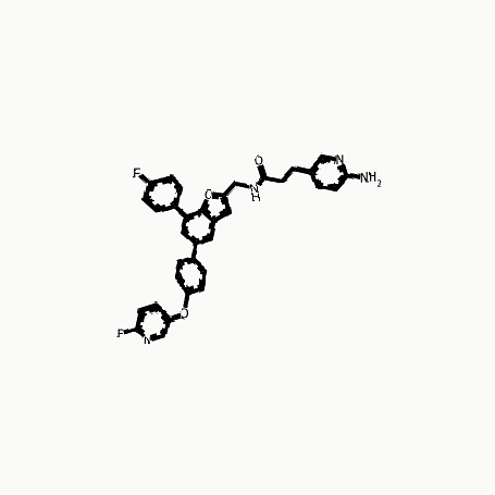 Nc1ccc(CCC(=O)NCc2cc3cc(-c4ccc(Oc5ccc(F)nc5)cc4)cc(-c4ccc(F)cc4)c3o2)cn1